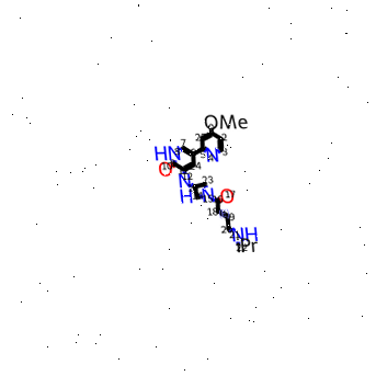 COc1ccnc(-c2c[nH]c(=O)c(NC3CN(C(=O)/C=C/CNC(C)C)C3)c2)c1